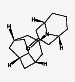 O=C1C[C@H]2CCC[C@@H](C1)N2[C@@H]1C[C@@H]2CC3[C@@H](C2)C[C@H]3C1